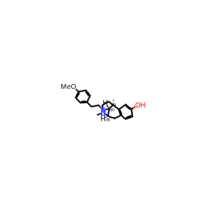 COc1ccc(CCN[C@H]2[C@H]3Cc4ccc(O)cc4[C@]2(C)CCN3C)cc1